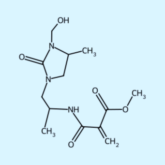 C=C(C(=O)NC(C)CN1CC(C)N(CO)C1=O)C(=O)OC